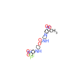 Cc1cc(N2CCC(NC(=O)COC3CCC(Nc4ccc([N+](=O)[O-])c(C(F)(F)F)c4)CC3)CC2)ccc1[N+](=O)[O-]